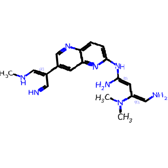 CN/C=C(\C=N)c1cnc2ccc(N/C(N)=C/C(=C\N)N(C)C)nc2c1